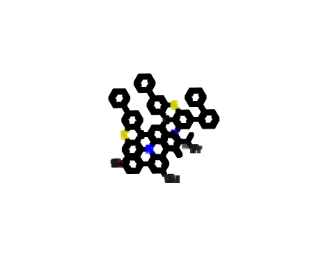 C=CC([C@@H](C)C(C)C)N1c2cc3c(cc2B2c4ccc(-c5ccccc5)cc4Sc4cc(-c5ccccc5-c5ccccc5)cc1c42)B1c2ccc(-c4ccccc4)cc2Sc2cc(C(C)(C)C)cc(c21)N3c1c(-c2ccccc2)cc(C(C)(C)C)cc1-c1ccccc1